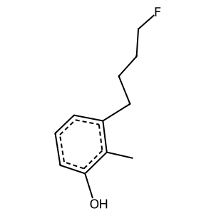 Cc1c(O)cccc1CCCCF